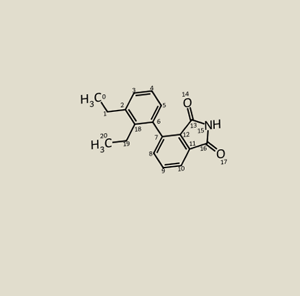 CCc1cccc(-c2cccc3c2C(=O)NC3=O)c1CC